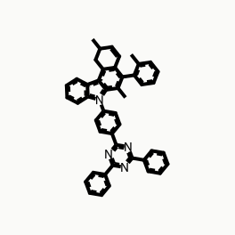 Cc1ccccc1-c1c2c(c3c4ccccc4n(-c4ccc(-c5nc(-c6ccccc6)nc(-c6ccccc6)n5)cc4)c3c1C)CC(C)C=C2